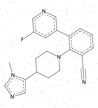 Cn1cncc1C1CCN(c2c(C#N)cccc2-c2cncc(F)c2)CC1